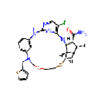 NC(=O)[C@H]1[C@H]2C[C@H]3[C@H]1Nc1nc(ncc1F)Nc1cccc(c1)N(Cc1cccs1)COCCS[C@@H]3C2